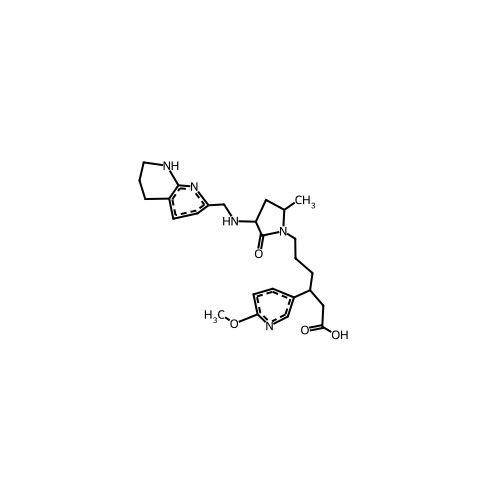 COc1ccc(C(CCCN2C(=O)C(NCc3ccc4c(n3)NCCC4)CC2C)CC(=O)O)cn1